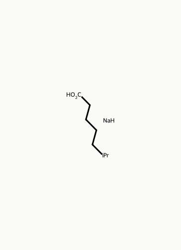 CC(C)CCCCC(=O)O.[NaH]